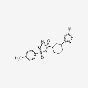 Cc1ccc(S(=O)(=O)N=S(C)(=O)[C@@H]2CCC[C@H](n3cc(Br)cn3)C2)cc1